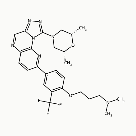 C[C@@H]1CN(c2nnc3cnc4ccc(-c5ccc(OCCCN(C)C)c(C(F)(F)F)c5)nc4n23)C[C@H](C)O1